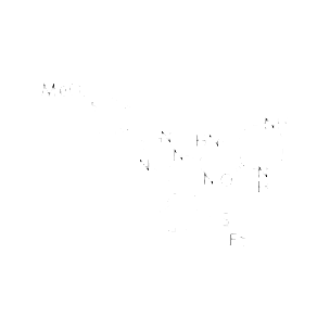 CCSc1cccc2c1nc(N[C@@H]1CNCCNC1=O)n1nc(-c3ccc(OC)cc3)nc21